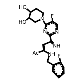 CC(=O)/C(=C/C(=N)c1ncc(F)c(N2CCC(O)C(O)C2)n1)NCc1ccccc1F